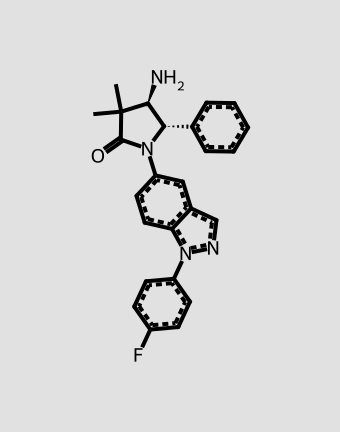 CC1(C)C(=O)N(c2ccc3c(cnn3-c3ccc(F)cc3)c2)[C@@H](c2ccccc2)[C@@H]1N